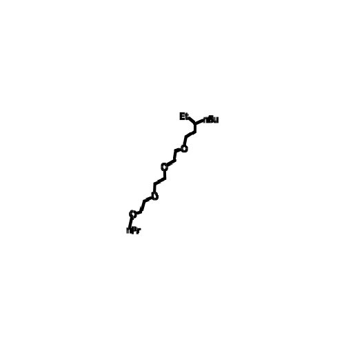 CCCCC(CC)CCOCCOCCOCCOCCC